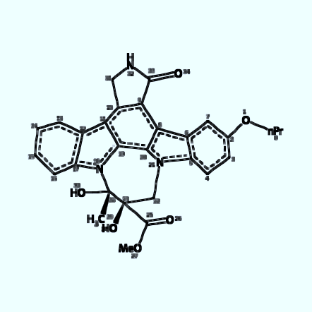 CCCOc1ccc2c(c1)c1c3c(c4c5ccccc5n5c4c1n2C[C@](O)(C(=O)OC)[C@]5(C)O)CNC3=O